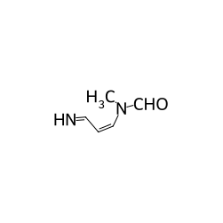 CN(C=O)/C=C\C=N